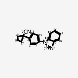 N#CC1(c2ccc(-n3nnc4ccccc43)cc2)CCC1